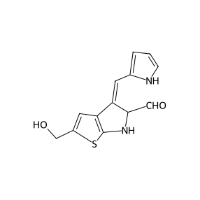 O=CC1Nc2sc(CO)cc2/C1=C/c1ccc[nH]1